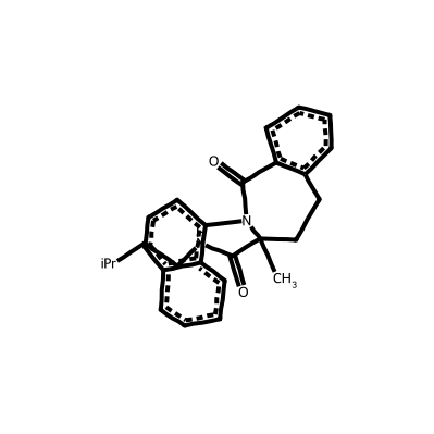 CC(C)CCNC(=O)C1(C)CCc2ccccc2C(=O)N1c1cccc2ccccc12